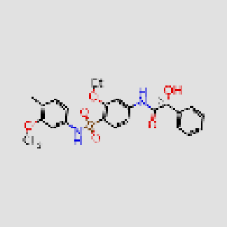 CCOc1cc(NC(=O)[C@@H](O)c2ccccc2)ccc1S(=O)(=O)Nc1ccc(C)c(OC(F)(F)F)c1